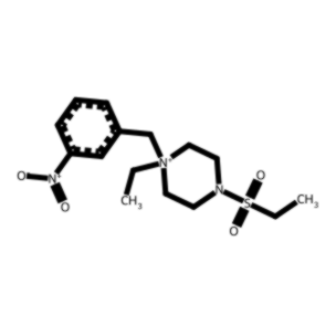 CC[N+]1(Cc2cccc([N+](=O)[O-])c2)CCN(S(=O)(=O)CC)CC1